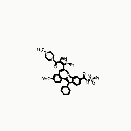 CCn1ncc(C(=O)N2CCN(C)CC2)c1C1=Cc2cc(OC)ccc2-c2c(C3CCCCC3)c3ccc(C(=O)NS(=O)(=O)C(C)C)cc3n2C1